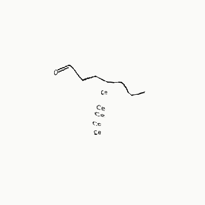 CCCCCCC=O.[Ce].[Ce].[Ce].[Ce].[Ce]